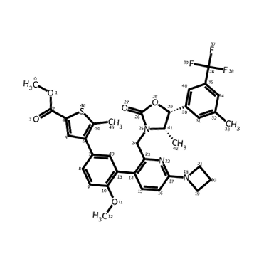 COC(=O)c1cc(-c2ccc(OC)c(-c3ccc(N4CCC4)nc3CN3C(=O)O[C@H](c4cc(C)cc(C(F)(F)F)c4)[C@@H]3C)c2)c(C)s1